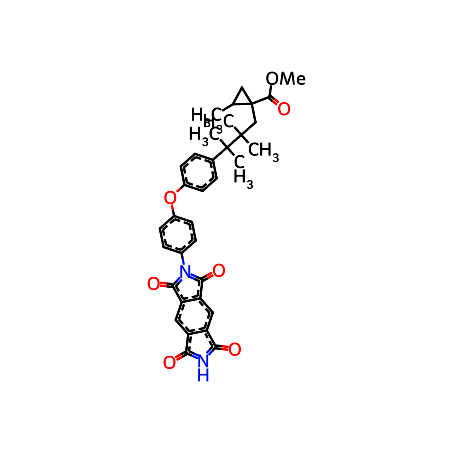 COC(=O)C1(CC(C)(C)C(C)(C)c2ccc(Oc3ccc(-n4c(=O)c5cc6c(=O)[nH]c(=O)c6cc5c4=O)cc3)cc2)CC1C